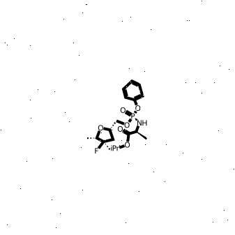 CC(C)OC(=O)[C@H](C)N[P@](=O)(OC[C@@H]1C[C@@](C)(F)[C@H](C)O1)Oc1ccccc1